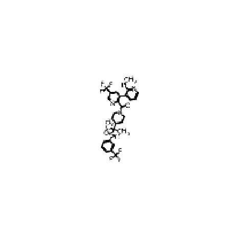 COc1ncccc1-c1cc(C(F)(F)F)cnc1C(=O)N1CCC(C(C)(C)S(=O)(=O)c2cccc(C(F)(F)F)c2)CC1